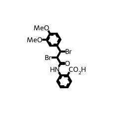 COc1ccc(C(Br)C(Br)C(=O)Nc2ccccc2C(=O)O)cc1OC